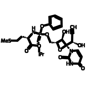 C#C[C@H](O)[C@@]1(n2ccc(=O)[nH]c2=O)O[C@H](COP(=S)(N[C@@H](CCSC)C(=O)OC(C)C)Oc2ccccc2)[C@H]1O